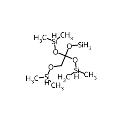 C[SiH](C)OCC(O[SiH3])(O[SiH](C)C)O[SiH](C)C